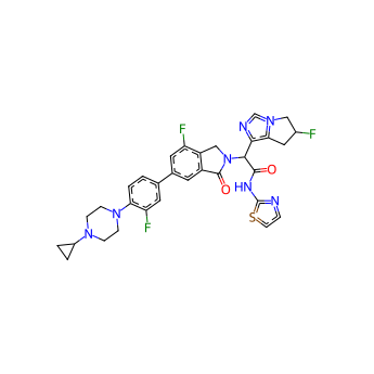 O=C(Nc1nccs1)C(c1ncn2c1CC(F)C2)N1Cc2c(F)cc(-c3ccc(N4CCN(C5CC5)CC4)c(F)c3)cc2C1=O